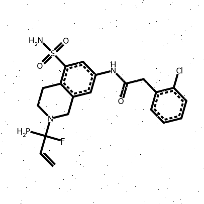 C=CC(F)(P)N1CCc2c(cc(NC(=O)Cc3ccccc3Cl)cc2S(N)(=O)=O)C1